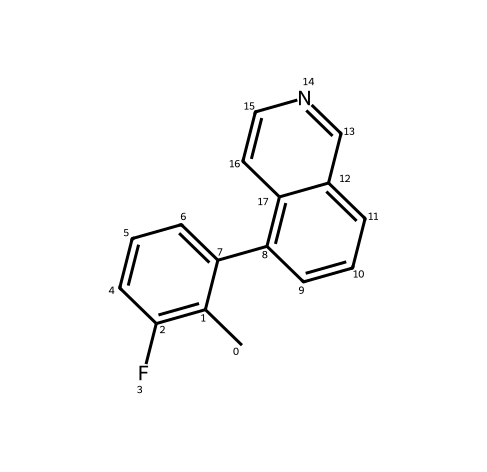 Cc1c(F)cccc1-c1cccc2cnccc12